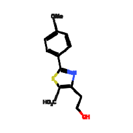 COc1ccc(-c2nc(CCO)c(C(=O)O)s2)cc1